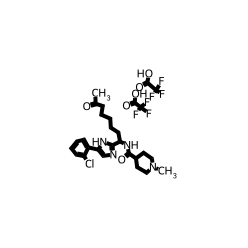 CC(=O)CCCCCC(NC(=O)C1CCN(C)CC1)c1ncc(-c2ccccc2Cl)[nH]1.O=C(O)C(F)(F)F.O=C(O)C(F)(F)F